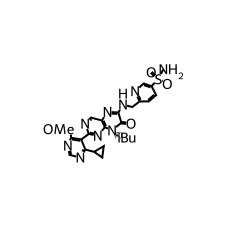 CC[C@@H](C)n1c(=O)c(NCc2ccc(S(N)(=O)=O)cn2)nc2cnc(-c3c(OC)ncnc3C3CC3)nc21